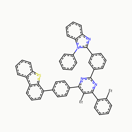 CCc1ccccc1-c1nc(-c2cccc(-c3nc4ccccc4n3-c3ccccc3)c2)nc(-c2ccc(-c3cccc4c3sc3ccccc34)cc2)c1CC